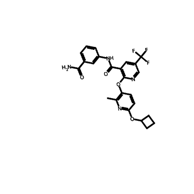 Cc1nc(OC2CCC2)ccc1Oc1ncc(C(F)(F)F)cc1C(=O)Nc1cccc(C(N)=O)c1